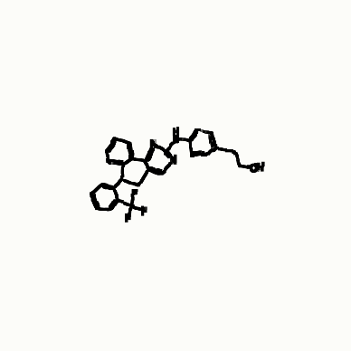 OCCc1ccc(Nc2ncc3c(n2)-c2ccccc2C(c2ccccc2C(F)(F)F)C3)cc1